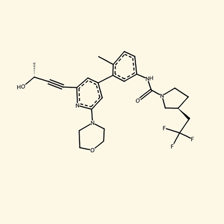 Cc1ccc(NC(=O)N2CC[C@@H](CC(F)(F)F)C2)cc1-c1cc(C#C[C@@H](C)O)nc(N2CCOCC2)c1